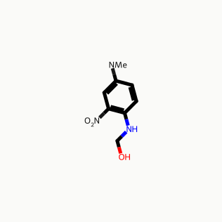 CNc1ccc(NCO)c([N+](=O)[O-])c1